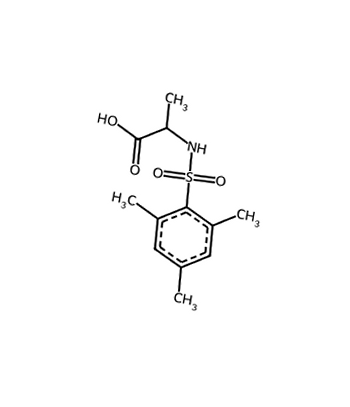 Cc1cc(C)c(S(=O)(=O)NC(C)C(=O)O)c(C)c1